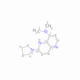 CN(C)c1ccnc2ccc(N3CCCC3)nc12